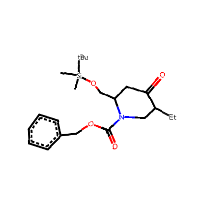 CCC1CN(C(=O)OCc2ccccc2)C(CO[Si](C)(C)C(C)(C)C)CC1=O